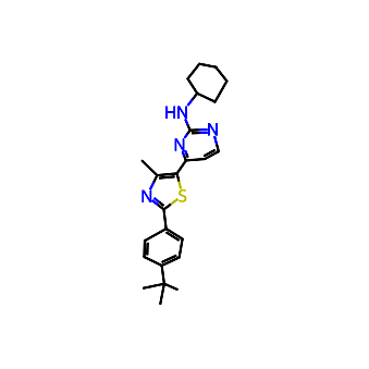 Cc1nc(-c2ccc(C(C)(C)C)cc2)sc1-c1ccnc(NC2CCCCC2)n1